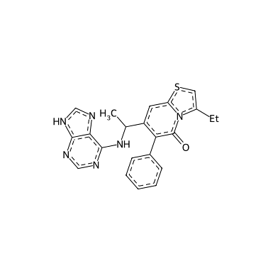 CCc1csc2cc(C(C)Nc3ncnc4[nH]cnc34)c(-c3ccccc3)c(=O)n12